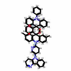 Cc1ccc2c(c1)C1(c3cc(C)ccc3N2C2=NC=C(n3c4c(c5ccccc53)N=CCC4)CC2)c2ccccc2C2(c3ccccc3N(c3ccccc3)c3ccccc32)c2ccccc21